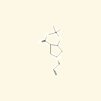 C=CC[C@@H]1CC2OC(C)(C)OC(=O)C2C1